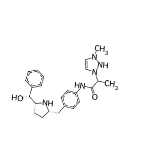 CC(C(=O)Nc1ccc(C[C@@H]2CC[C@H]([C@H](O)c3ccccc3)N2)cc1)N1C=CN(C)N1